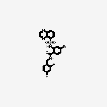 O=C(NCc1ccc(F)cc1F)c1ccc(Br)cc1NS(=O)(=O)c1cccc2nccnc12